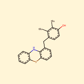 CC(C)(C)c1c(O)ccc(Cc2cccc3c2Nc2ccccc2S3)c1C(C)(C)C